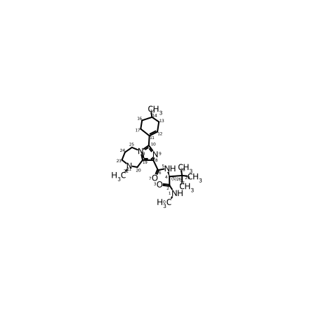 CNC(=O)[C@@H](NC(=O)c1nc(C2=CCC(C)CC2)n2c1CN(C)CCC2)C(C)(C)C